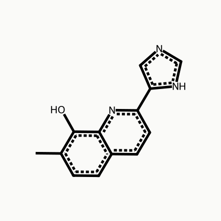 Cc1ccc2ccc(-c3cnc[nH]3)nc2c1O